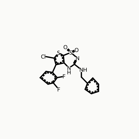 O=S1(=O)N=C(NCc2ccccc2)Nc2c1sc(Cl)c2-c1cccc(F)c1F